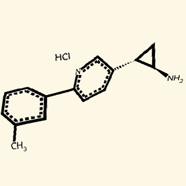 Cc1cccc(-c2ccc([C@@H]3C[C@H]3N)cn2)c1.Cl